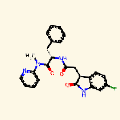 CN(C(=O)[C@H](Cc1ccccc1)NC(=O)CC1C(=O)Nc2cc(F)ccc21)c1ccccn1